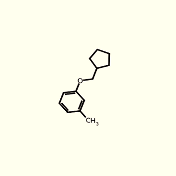 Cc1cccc(OCC2CCCC2)c1